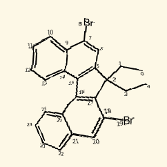 CCC1(CC)c2cc(Br)c3ccccc3c2-c2c1c(Br)cc1ccccc21